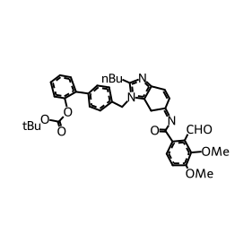 CCCCc1nc2c(n1Cc1ccc(-c3ccccc3OC(=O)OC(C)(C)C)cc1)CC(=NC(=O)c1ccc(OC)c(OC)c1C=O)C=C2